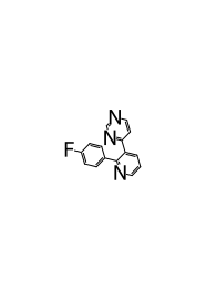 Fc1ccc(-c2ncccc2-c2ccncn2)cc1